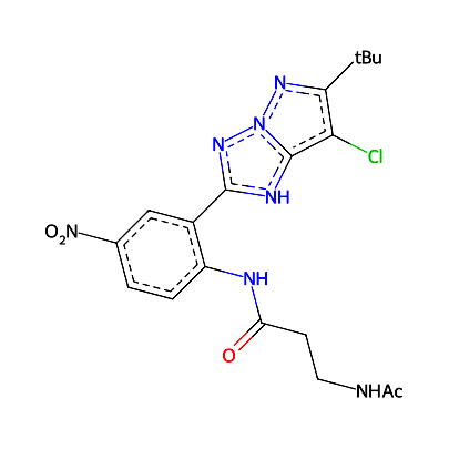 CC(=O)NCCC(=O)Nc1ccc([N+](=O)[O-])cc1-c1nn2nc(C(C)(C)C)c(Cl)c2[nH]1